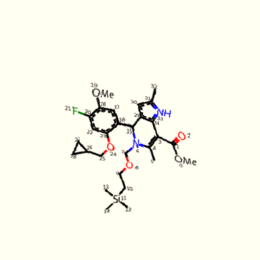 COC(=O)C1=C(C)N(COCC[Si](C)(C)C)C(c2cc(OC)c(F)cc2OCC2CC2)c2cc(C)[nH]c21